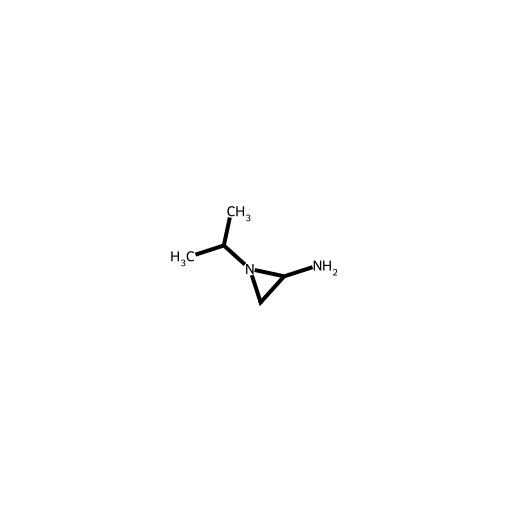 CC(C)N1CC1N